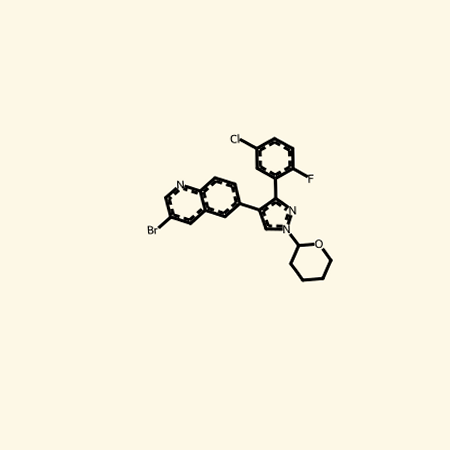 Fc1ccc(Cl)cc1-c1nn(C2CCCCO2)cc1-c1ccc2ncc(Br)cc2c1